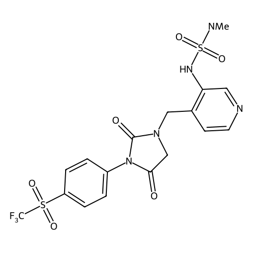 CNS(=O)(=O)Nc1cnccc1CN1CC(=O)N(c2ccc(S(=O)(=O)C(F)(F)F)cc2)C1=O